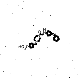 O=C(O)c1ccc(CN2CCCN(C(=O)CNc3ccc(Oc4ccccc4)cc3)CC2)cc1